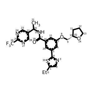 CCc1cnc(-c2cc(OC[C@@H]3CCCO3)cc(C(=O)NC(C)c3cnc(C(F)(F)F)nc3)c2)s1